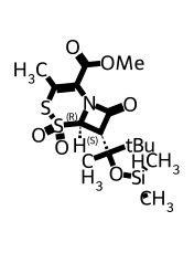 COC(=O)C1=C(C)SS(=O)(=O)[C@@H]2[C@@H](C(C)(O[SiH](C)C)C(C)(C)C)C(=O)N12